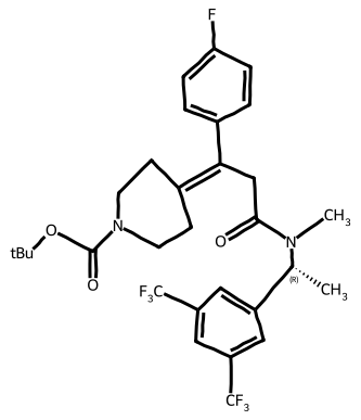 C[C@H](c1cc(C(F)(F)F)cc(C(F)(F)F)c1)N(C)C(=O)CC(=C1CCN(C(=O)OC(C)(C)C)CC1)c1ccc(F)cc1